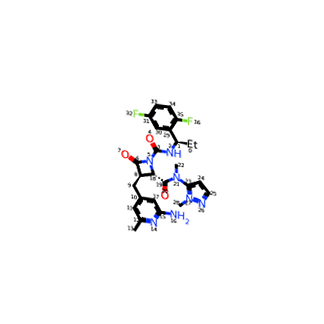 CC[C@@H](NC(=O)N1C(=O)[C@H](Cc2cc(C)nc(N)c2)[C@H]1C(=O)N(C)c1ccnn1C)c1cc(F)ccc1F